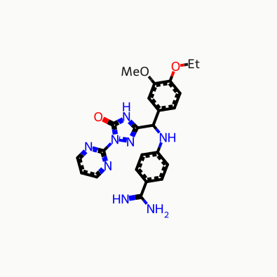 CCOc1ccc(C(Nc2ccc(C(=N)N)cc2)c2nn(-c3ncccn3)c(=O)[nH]2)cc1OC